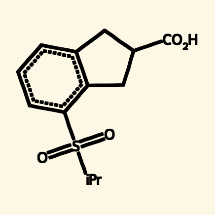 CC(C)S(=O)(=O)c1cccc2c1CC(C(=O)O)C2